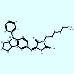 CCCCCCN1C(=O)/C(=C\c2ccc3c(c2)C2CCCC2N3c2ccccc2)SC1=S